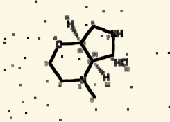 CN1CCO[C@H]2CNC[C@H]21.Cl